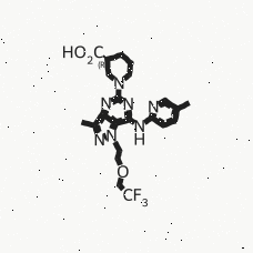 Cc1ccc(Nc2nc(N3CCC[C@@H](C(=O)O)C3)nc3c(C)nn(CCOCC(F)(F)F)c23)nc1